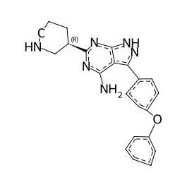 Nc1nc([C@@H]2CCCNC2)nc2[nH]nc(-c3ccc(Oc4ccccc4)cc3)c12